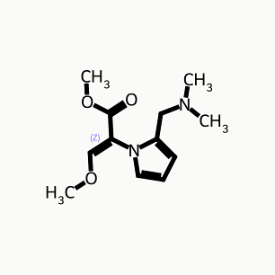 CO/C=C(/C(=O)OC)n1cccc1CN(C)C